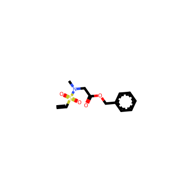 C=CS(=O)(=O)N(C)CC(=O)OCc1ccccc1